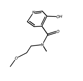 COCCN(C)C(=O)c1ccncc1O